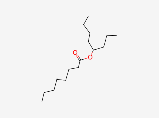 CCCCCCCC(=O)OC(CCC)CCCC